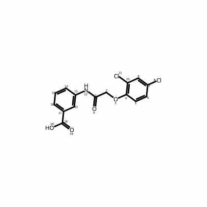 O=C(COc1ccc(Cl)cc1Cl)Nc1cccc(C(=O)O)c1